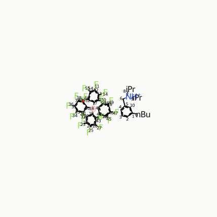 CCCCc1cccc(C[NH+](C(C)C)C(C)C)c1.Fc1c(F)c(F)c([B-](c2c(F)c(F)c(F)c(F)c2F)(c2c(F)c(F)c(F)c(F)c2F)c2c(F)c(F)c(F)c(F)c2F)c(F)c1F